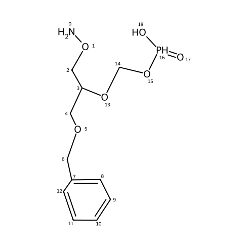 NOCC(COCc1ccccc1)OCO[PH](=O)O